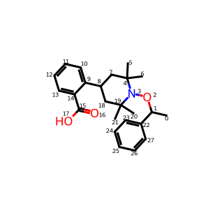 CC(ON1C(C)(C)CC(c2ccccc2C(=O)O)CC1(C)C)c1ccccc1